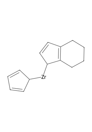 C1=C[CH]([Zr][CH]2C=CC3=C2CCCC3)C=C1